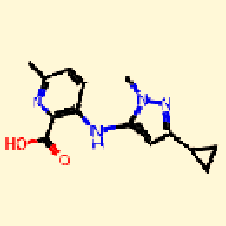 Cc1ccc(Nc2cc(C3CC3)nn2C)c(C(=O)O)n1